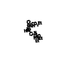 CCOC(=O)[C@H](NC(=O)c1cc(-c2cccc(-c3ncc(C(=O)NC(CC)CC)o3)c2)[nH]n1)c1ccccc1